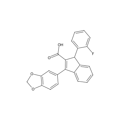 O=C(O)C1=C(c2ccc3c(c2)OCO3)c2ccccc2C1c1ccccc1F